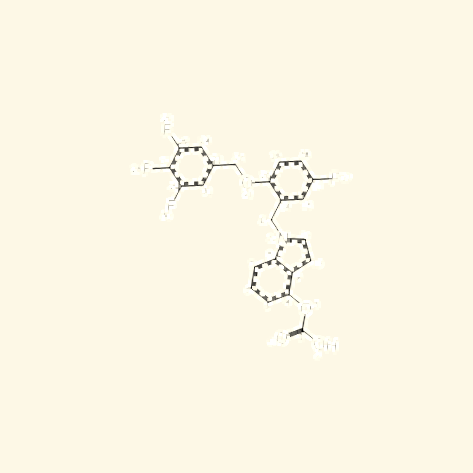 O=C(O)Oc1cccc2c1ccn2Cc1cc(F)ccc1OCc1cc(F)c(F)c(F)c1